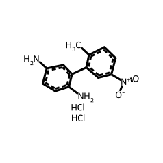 Cc1ccc([N+](=O)[O-])cc1-c1cc(N)ccc1N.Cl.Cl